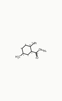 [2H]OC(=O)C1CC(C)CCC1C(C)C